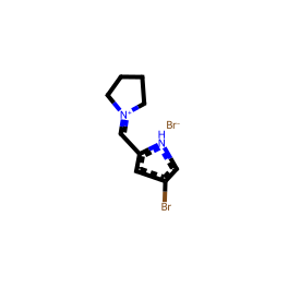 Brc1c[nH]c(C=[N+]2CCCC2)c1.[Br-]